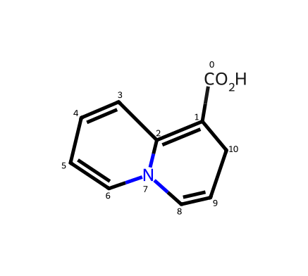 O=C(O)C1=C2C=CC=CN2C=CC1